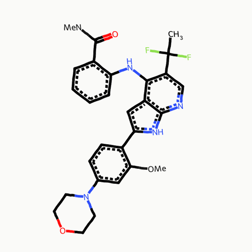 CNC(=O)c1ccccc1Nc1c(C(C)(F)F)cnc2[nH]c(-c3ccc(N4CCOCC4)cc3OC)cc12